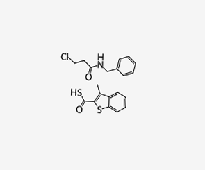 Cc1c(C(=O)S)sc2ccccc12.O=C(CCCl)NCc1ccccc1